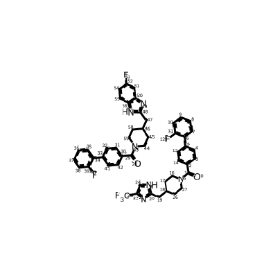 O=C(c1ccc(-c2ccccc2F)cc1)N1CCC(Cc2nc(C(F)(F)F)c[nH]2)CC1.O=C(c1ccc(-c2ccccc2F)cc1)N1CCC(Cc2nc3cc(F)ccc3[nH]2)CC1